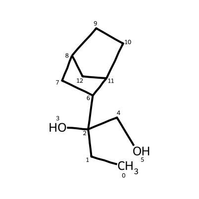 CCC(O)(CO)C1CC2CCC1C2